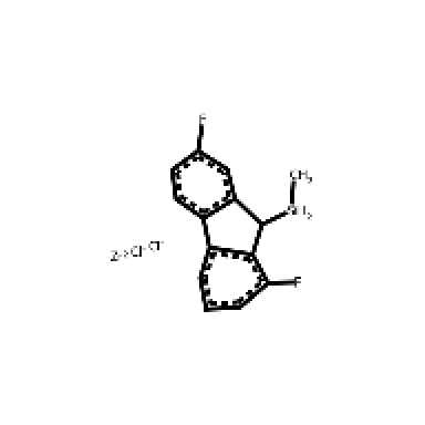 C[SiH2]C1c2cc(F)ccc2-c2cccc(F)c21.[Cl-].[Cl-].[Zr+2]